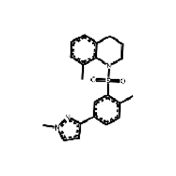 Cc1ccc(-c2ccn(C)n2)cc1S(=O)(=O)N1CCCc2cccc(C)c21